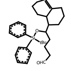 CC(C)(C)[Si](OC(CCCC=O)C1CCCC2=CCCCC21)(c1ccccc1)c1ccccc1